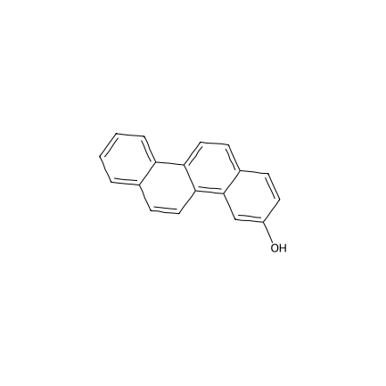 Oc1ccc2ccc3c4ccccc4ccc3c2c1